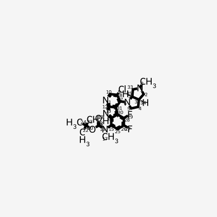 CN1C[C@H]2CCN(c3c(Cl)cnc4[nH]c5c(N(C)C(=O)OC(C)(C)C)cc(F)c(F)c5c34)[C@H]2C1